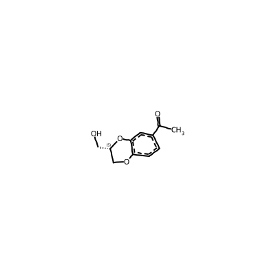 CC(=O)c1ccc2c(c1)O[C@@H](CO)CO2